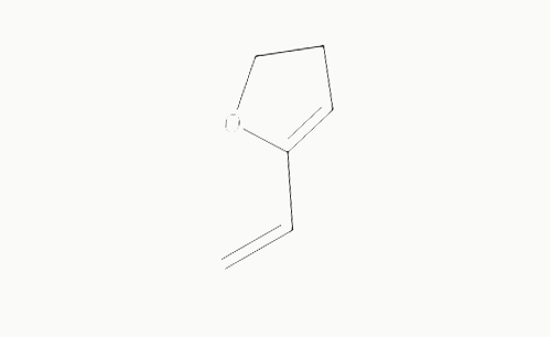 C=CC1=CCCO1